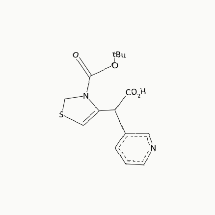 CC(C)(C)OC(=O)N1CSC=C1C(C(=O)O)c1cccnc1